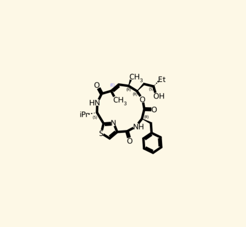 CC[C@H](O)C[C@H]1OC(=O)[C@@H](Cc2ccccc2)NC(=O)c2csc(n2)[C@H](C(C)C)NC(=O)/C(C)=C/[C@H]1C